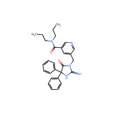 CCCN(CCC)C(=O)c1cncc(CN2C(=N)NC(c3ccccc3)(c3ccccc3)C2=O)c1